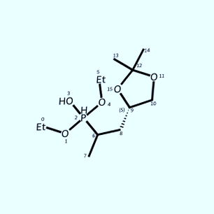 CCO[PH](O)(OCC)C(C)C[C@H]1COC(C)(C)O1